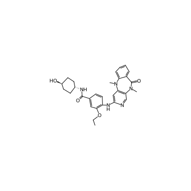 CCOc1cc(C(=O)N[C@H]2CC[C@H](O)CC2)ccc1Nc1cc2c(cn1)N(C)C(=O)c1ccccc1N2C